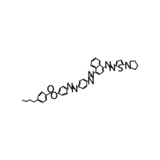 CCCCc1ccc(C(=O)Oc2ccc(N=Nc3ccc(N=Nc4ccc(N=Nc5ccc(N6CCCCC6)s5)c5ccccc45)cc3)cc2)cc1